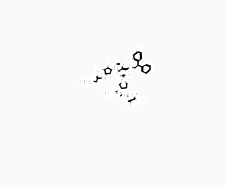 CCC(=O)N[C@H]1C[C@@H](n2cnc3c(NCC(c4ccccc4)c4ccc(F)cc4)nc(N4CC[C@@H](N(C)C)C4)nc32)[C@H](O)[C@@H]1O.O=C(O)C(F)(F)F